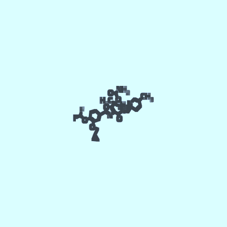 Cc1ccc(CNC(=O)c2nc(-c3ccc(OC(F)F)c(OCC4CC4)c3)oc2C(C)(OC(N)=O)C(C)(C)C)nc1